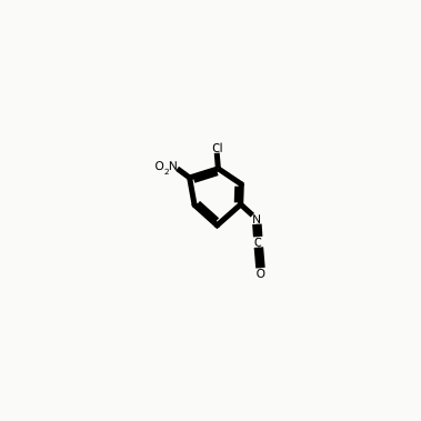 O=C=Nc1ccc([N+](=O)[O-])c(Cl)c1